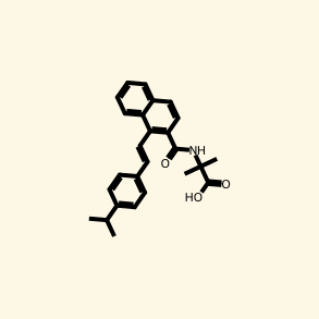 CC(C)c1ccc(C=Cc2c(C(=O)NC(C)(C)C(=O)O)ccc3ccccc23)cc1